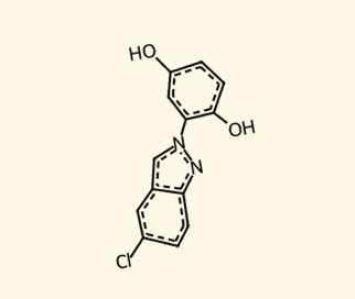 Oc1ccc(O)c(-n2cc3cc(Cl)ccc3n2)c1